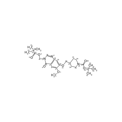 COc1cc2c(=O)n(COC(=O)C(C)(C)C)cnc2cc1OCC1CCN(C(=O)OC(C)(C)C)CC1